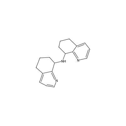 c1cnc2c(c1)CCCC2NC1CCCc2cccnc21